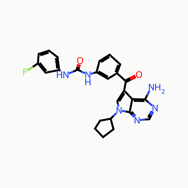 Nc1ncnc2c1c(C(=O)c1cccc(NC(=O)Nc3cccc(F)c3)c1)cn2C1CCCC1